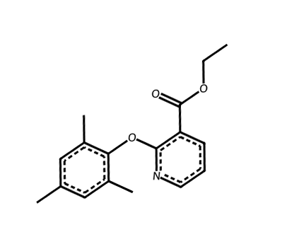 CCOC(=O)c1cccnc1Oc1c(C)cc(C)cc1C